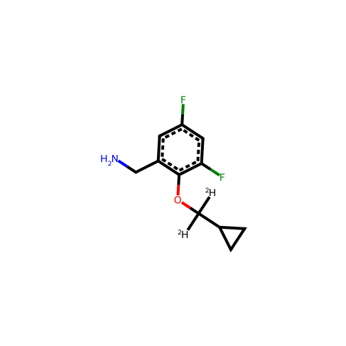 [2H]C([2H])(Oc1c(F)cc(F)cc1CN)C1CC1